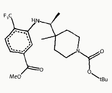 COC(=O)c1ccc(C(F)(F)F)c(N[C@@H](C)C2(C)CCN(C(=O)OC(C)(C)C)CC2)c1